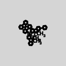 CC1(C)c2ccccc2-c2ccc(N(c3ccc4c(c3)C(C)(C)c3cc(-c5ccccc5)ccc3-4)c3cccc4c3-c3ccccc3C43c4ccccc4-c4ccccc43)cc21